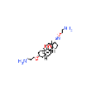 C[C@]12CC[C@H](OCCCN)C[C@H]1CC[C@@H]1[C@@H]2CC[C@]2(C)[C@@H](/C=N/OCCN)CC[C@]12O